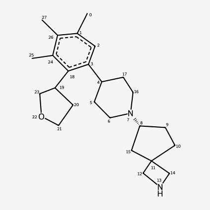 Cc1cc(C2CCN([C@@H]3CCC4(CNC4)C3)CC2)c(C2CCOC2)c(C)c1C